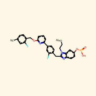 COCCn1c(Cc2ccc(-c3cccc(OCc4ccc(C#N)cc4F)n3)cc2F)nc2ccc(O[PH](=O)O)cc21